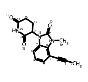 CC#Cc1cccc2c1n(C)c(=O)n2C1CCC(=O)NC1=O